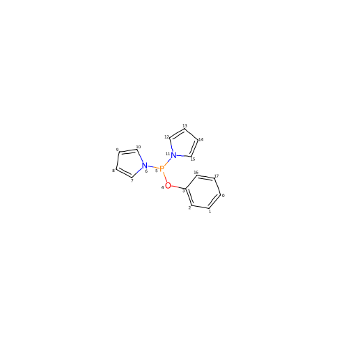 c1ccc(OP(n2cccc2)n2cccc2)cc1